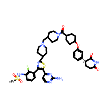 CCCS(=O)(=O)Nc1cccc(-c2nc(C3CCN(CC4CCN(C(=O)C5CCC(Oc6cccc([C@H]7CCC(=O)NC7=O)c6)CC5)CC4)CC3)sc2-c2ccnc(N)n2)c1F